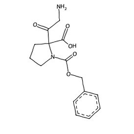 NCC(=O)C1(C(=O)O)CCCN1C(=O)OCc1ccccc1